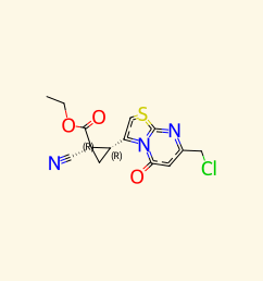 CCOC(=O)[C@]1(C#N)C[C@H]1c1csc2nc(CCl)cc(=O)n12